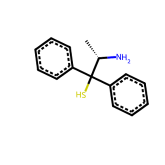 C[C@H](N)C(S)(c1ccccc1)c1ccccc1